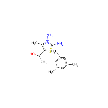 Cc1c(C(C)O)sc(N)[n+]1N.Cc1cc(C)cc(C)c1